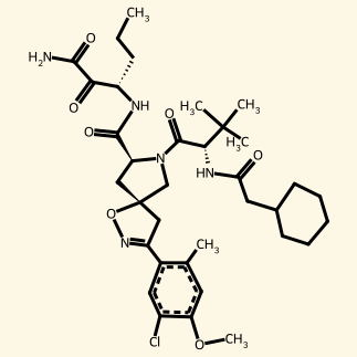 CCC[C@H](NC(=O)[C@@H]1C[C@]2(CC(c3cc(Cl)c(OC)cc3C)=NO2)CN1C(=O)[C@@H](NC(=O)CC1CCCCC1)C(C)(C)C)C(=O)C(N)=O